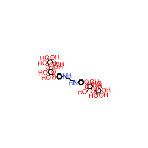 OC[C@H]1O[C@@H](O[C@H]2[C@H](O)[C@@H](O)[C@H](Oc3ccc(NCCCCNc4ccc(O[C@@H]5O[C@H](CO)[C@@H](O[C@@H]6O[C@H](CO)[C@@H](O)[C@H](O)[C@H]6O)[C@H](O)[C@H]5O)cc4)cc3)O[C@@H]2CO)[C@H](O)[C@@H](O)[C@@H]1O